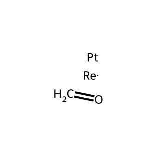 C=O.[Pt].[Re]